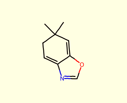 CC1(C)C=c2ocnc2=CC1